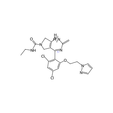 C=C(N)/N=C(\C1=C(N)CN(C(=O)NCC)C1)c1c(Cl)cc(Cl)cc1OCCn1cccn1